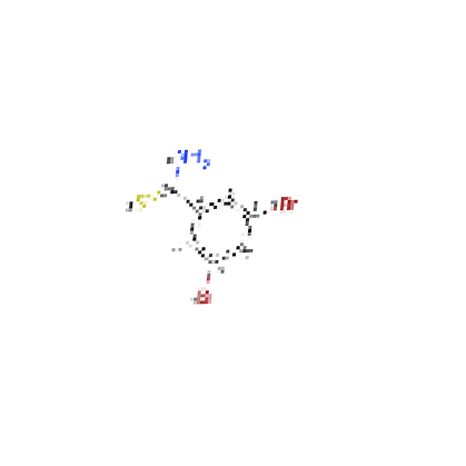 NC(=S)c1cc(Br)cc(Br)c1